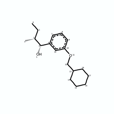 CC[C@@H](C)[C@@H](O)c1cccc(OCC2CCCCC2)c1